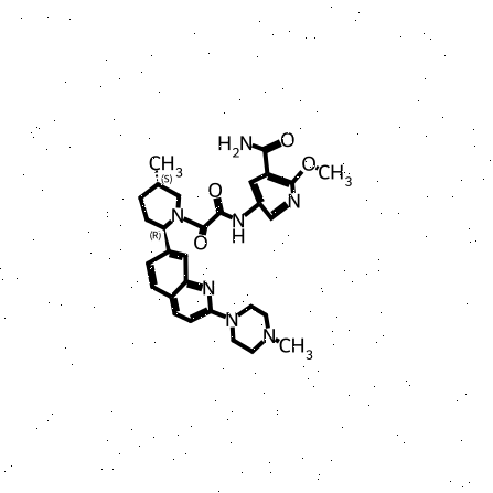 COc1ncc(NC(=O)C(=O)N2C[C@@H](C)CC[C@@H]2c2ccc3ccc(N4CCN(C)CC4)nc3c2)cc1C(N)=O